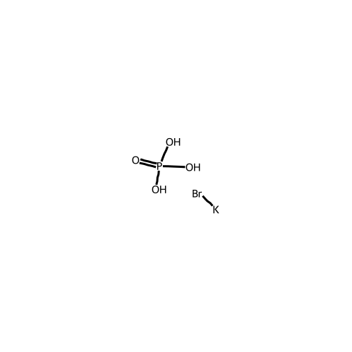 O=P(O)(O)O.[K][Br]